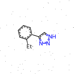 C[CH]c1ccccc1-c1c[nH]nn1